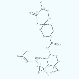 COC1C(OC(=O)N2CCC3(CCN(C)C(=O)C3)CC2)CCC2(CO2)C1[C@@]1(C)O[C@@H]1CC=C(C)C